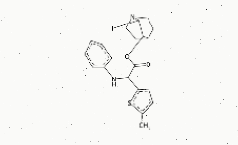 Cc1ccc(C(Nc2ccccc2)C(=O)OC2C3CCN(CC3)C2I)s1